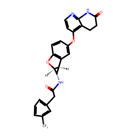 O=C1CCc2c(Oc3ccc4c(c3)[C@H]3[C@H](NC(=O)Cc5cccc(C(F)(F)F)c5)[C@H]3O4)ccnc2N1